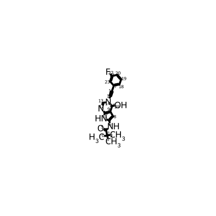 CC(C)(C)C(=O)Nc1cc2c([nH]1)N=CN(C#Cc1cccc(F)c1)C2O